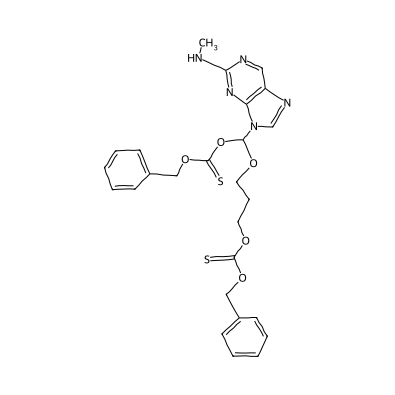 CNc1ncc2ncn(C(OCCCOC(=S)OCc3ccccc3)OC(=S)OCc3ccccc3)c2n1